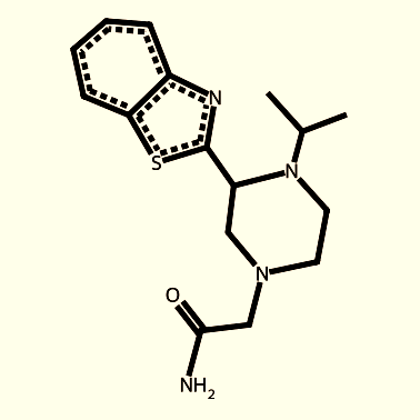 CC(C)N1CCN(CC(N)=O)CC1c1nc2ccccc2s1